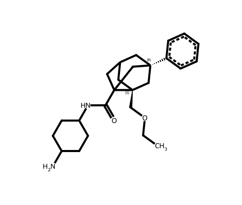 CCOC[C@]12CC3CC1(C(=O)NC1CCC(N)CC1)C[C@@](c1ccccc1)(C3)C2